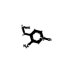 CCCCCSc1cc[n+]([O-])cc1C